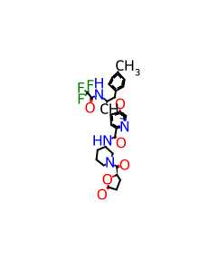 Cc1ccc([C@@H](Oc2ccc(C(=O)N[C@@H]3CCCN(C(=O)[C@H]4CCC(=O)O4)C3)nc2)[C@H](C)NC(=O)C(F)(F)F)cc1